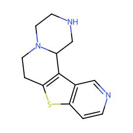 c1cc2sc3c(c2cn1)C1CNCCN1CC3